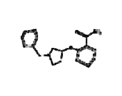 NC(=O)c1ccccc1OC1CCN(Cc2ccccc2)C1